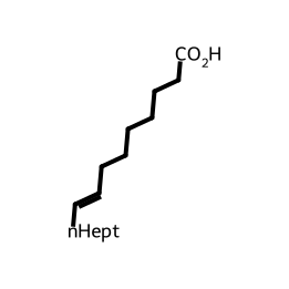 CCCCCCCC=CCCCCCCC(=O)O